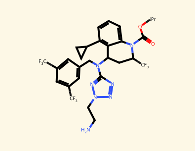 CC(C)OC(=O)N1c2cccc(C3CC3)c2C(N(Cc2cc(C(F)(F)F)cc(C(F)(F)F)c2)c2nnn(CCN)n2)CC1C(F)(F)F